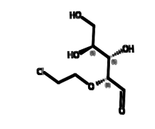 O=C[C@H](OCCCl)[C@@H](O)[C@@H](O)CO